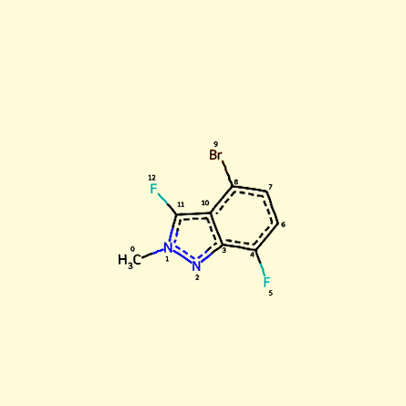 Cn1nc2c(F)ccc(Br)c2c1F